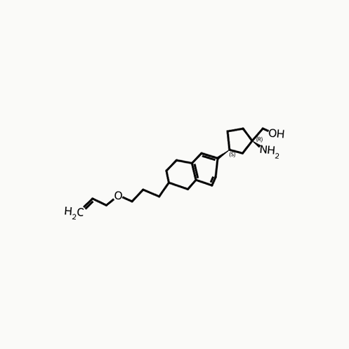 C=CCOCCCC1CCc2cc([C@H]3CC[C@](N)(CO)C3)ccc2C1